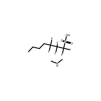 CCCCC(F)(F)C(F)(F)C(F)(F)S(=O)(=O)O.CNC